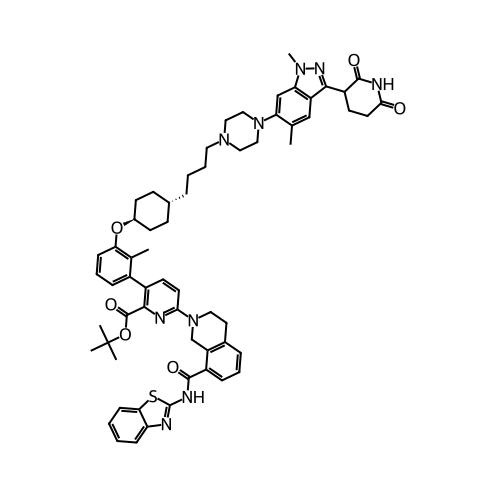 Cc1cc2c(C3CCC(=O)NC3=O)nn(C)c2cc1N1CCN(CCCC[C@H]2CC[C@H](Oc3cccc(-c4ccc(N5CCc6cccc(C(=O)Nc7nc8ccccc8s7)c6C5)nc4C(=O)OC(C)(C)C)c3C)CC2)CC1